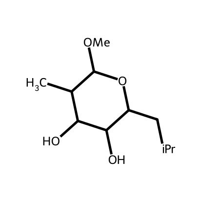 COC1OC(CC(C)C)C(O)C(O)C1C